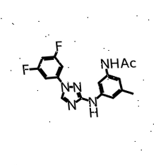 CC(=O)Nc1cc(C)cc(Nc2ncn(-c3cc(F)cc(F)c3)n2)c1